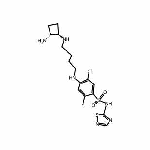 N[C@@H]1CC[C@H]1NCCCCNc1cc(F)c(S(=O)(=O)Nc2ncns2)cc1Cl